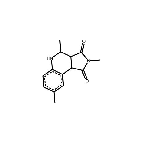 Cc1ccc2c(c1)C1C(=O)N(C)C(=O)C1C(C)N2